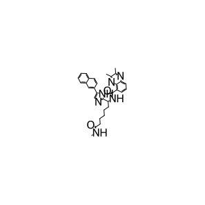 CNC(=O)CCCCCC(NC(=O)c1cccc2nc(C)c(C)nc12)c1ncc(-c2ccc3ccccc3c2)[nH]1